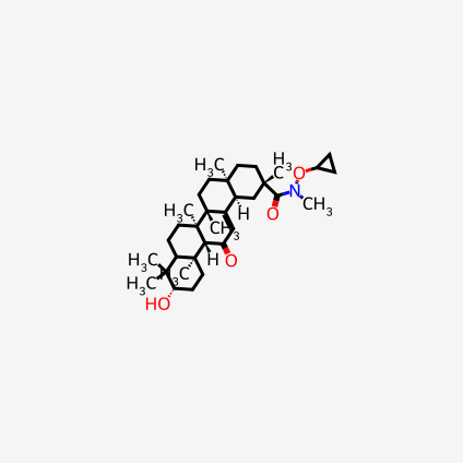 CN(OC1CC1)C(=O)[C@@]1(C)CC[C@]2(C)CC[C@]3(C)C(=CC(=O)[C@@H]4[C@@]5(C)CC[C@H](O)C(C)(C)C5CC[C@]43C)[C@@H]2C1